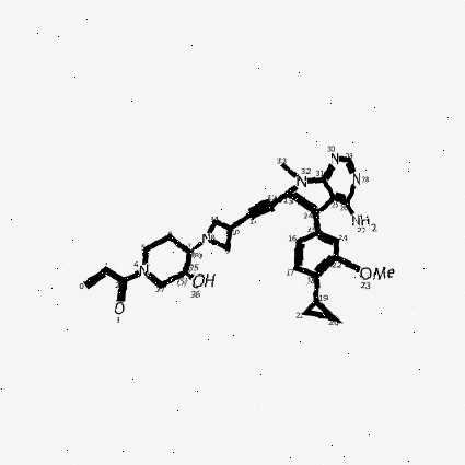 C=CC(=O)N1CC[C@@H](N2CC(C#Cc3c(-c4ccc(C5CC5)c(OC)c4)c4c(N)ncnc4n3C)C2)[C@@H](O)C1